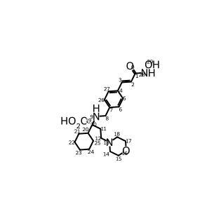 O=C(C=Cc1ccc(CN[C@](CCN2CCOCC2)(C(=O)O)C2CCCCC2)cc1)NO